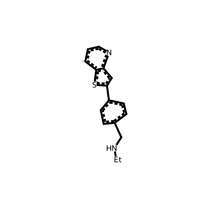 CCNCc1ccc(-c2cc3ncc[c]c3s2)cc1